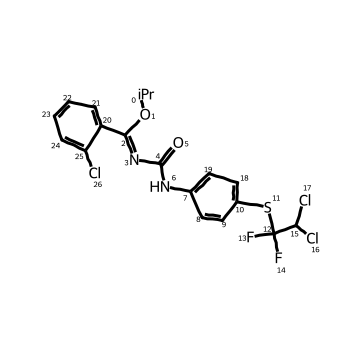 CC(C)O/C(=N\C(=O)Nc1ccc(SC(F)(F)C(Cl)Cl)cc1)c1ccccc1Cl